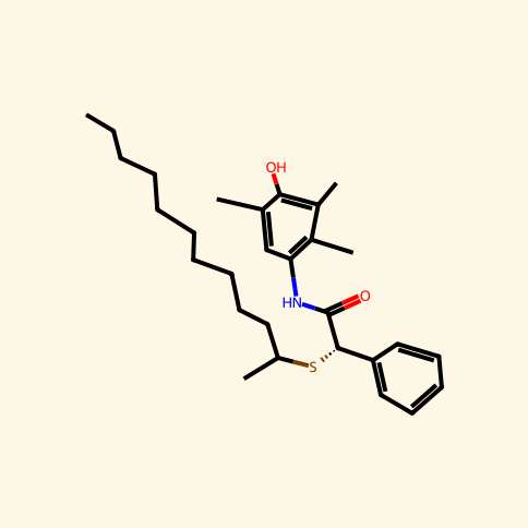 CCCCCCCCCCC(C)S[C@H](C(=O)Nc1cc(C)c(O)c(C)c1C)c1ccccc1